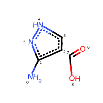 Nc1cc[nH]n1.O=CO